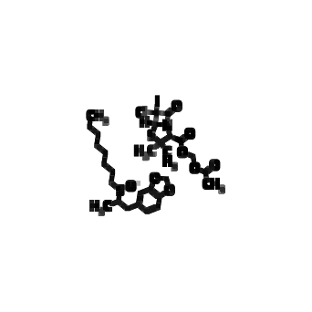 CC(=O)OCOC(=O)[C@@H]1N2C(=O)C(Cl)(I)[C@H]2SC1(C)C.CCCCCCCC[S+]([O-])C(C)Cc1ccc2c(c1)OCO2